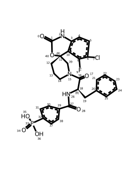 O=C1Nc2ccc(Cl)c(F)c2[C@@]2(CCCN(C(=O)[C@@H](Cc3ccccc3)NC(=O)c3ccc(P(=O)(O)O)cc3)C2)O1